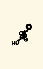 O=C(CCc1ccccc1)O[PH](=O)OCCO